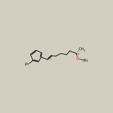 CC(C)c1cccc(/C=C/CCCC[C@H](C)OC(C)(C)C)c1